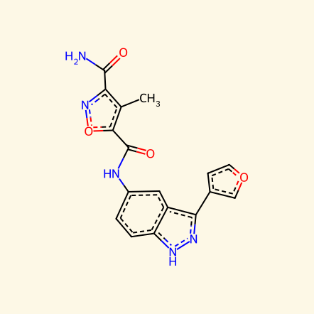 Cc1c(C(N)=O)noc1C(=O)Nc1ccc2[nH]nc(-c3ccoc3)c2c1